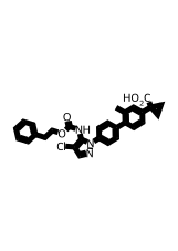 Cc1cc(C2(C(=O)O)CC2)ccc1-c1ccc(-n2ncc(Cl)c2NC(=O)OCCc2ccccc2)cc1